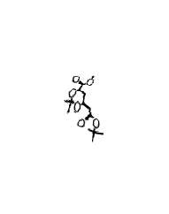 COC(=O)C1CC(CC(=O)OC(C)(C)C)OC(C)(C)O1